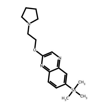 [CH3][Sn]([CH3])([CH3])[c]1ccc2nc(OCCN3CCCC3)cnc2c1